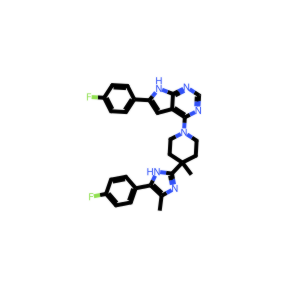 Cc1nc(C2(C)CCN(c3ncnc4[nH]c(-c5ccc(F)cc5)cc34)CC2)[nH]c1-c1ccc(F)cc1